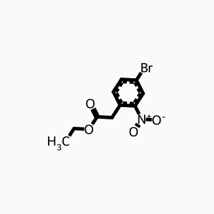 CCOC(=O)Cc1ccc(Br)cc1[N+](=O)[O-]